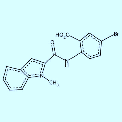 Cn1c(C(=O)Nc2ccc(Br)cc2C(=O)O)cc2ccccc21